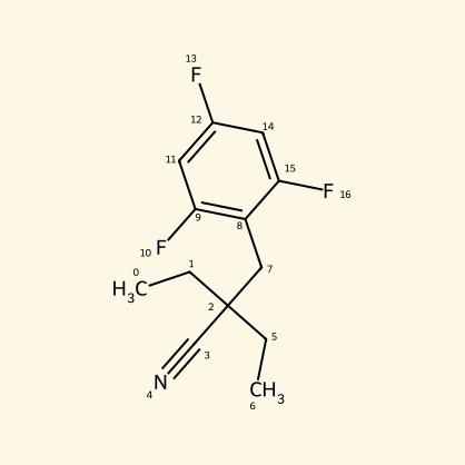 CCC(C#N)(CC)Cc1c(F)cc(F)cc1F